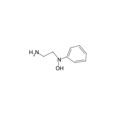 NCCN(O)c1ccccc1